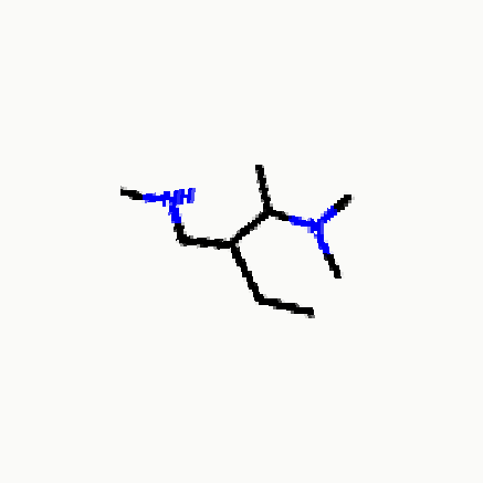 CCC(CNC)C(C)N(C)C